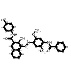 COc1cc(NC(=O)c2ccccc2)c(C)cc1/N=N/c1c(O)c(C(=O)Nc2ccc(Cl)cc2)cc2ccccc12